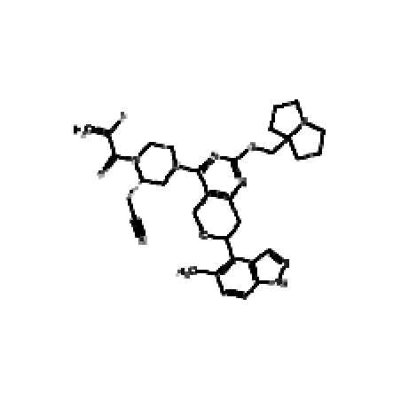 C=C(F)C(=O)N1CCN(c2nc(OCC34CCCN3CCC4)nc3c2COC(c2c(C)ccc4[nH]ncc24)C3)C[C@@H]1CC#N